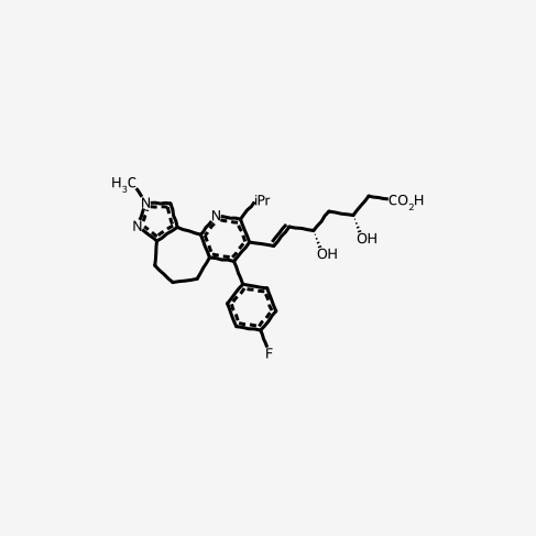 CC(C)c1nc2c(c(-c3ccc(F)cc3)c1/C=C/[C@@H](O)C[C@@H](O)CC(=O)O)CCCc1nn(C)cc1-2